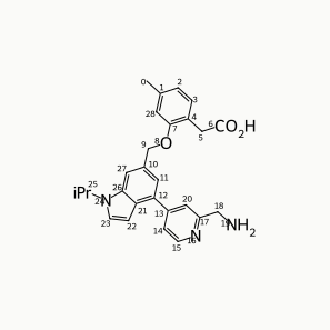 Cc1ccc(CC(=O)O)c(OCc2cc(-c3ccnc(CN)c3)c3ccn(C(C)C)c3c2)c1